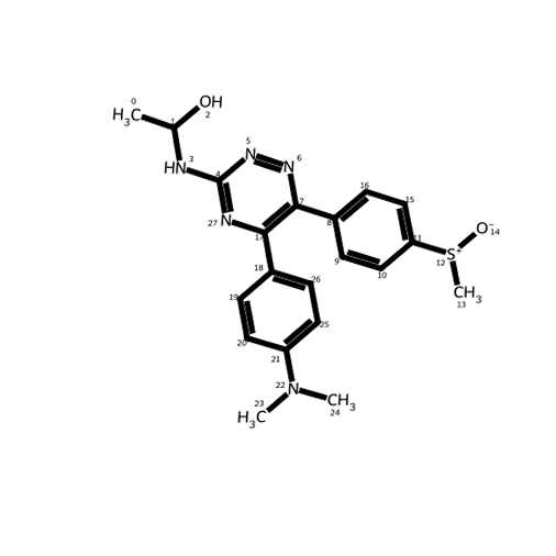 CC(O)Nc1nnc(-c2ccc([S+](C)[O-])cc2)c(-c2ccc(N(C)C)cc2)n1